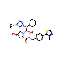 Cc1ncsc1-c1ccc(CNC(=O)[C@@H]2C[C@@H](O)CN2C(O)[C@H](C2CCCCC2)n2cc(C3CC3)nn2)cc1